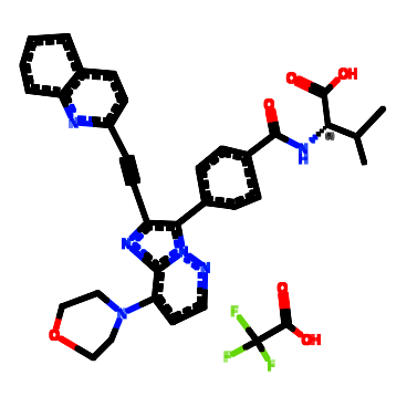 CC(C)[C@H](NC(=O)c1ccc(-c2c(C#Cc3ccc4ccccc4n3)nc3c(N4CCOCC4)ccnn23)cc1)C(=O)O.O=C(O)C(F)(F)F